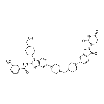 O=C1CCN(N2Cc3cc(N4CCC(CN5CCN(c6ccc7c(c6)nc(NC(=O)c6cccc(C(F)(F)F)c6)n7C6CCC(CO)CC6)CC5)CC4)ccc3C2=O)C(=O)N1